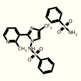 Cc1ncccc1-c1nc(C(F)(F)F)cn1NS(=O)(=O)c1ccccc1.NS(=O)(=O)c1ccccc1